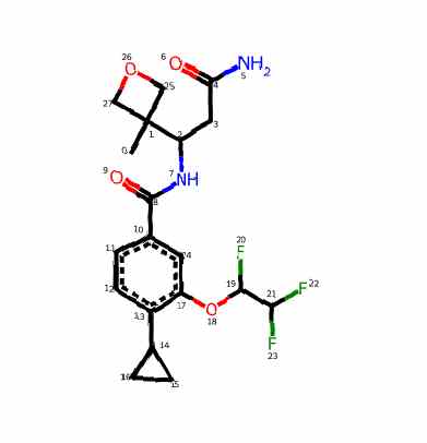 CC1(C(CC(N)=O)NC(=O)c2ccc(C3CC3)c(OC(F)C(F)F)c2)COC1